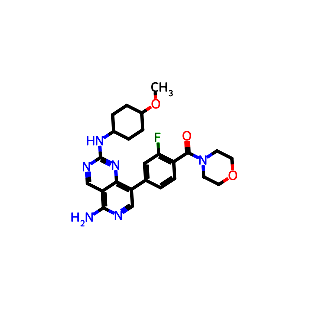 COC1CCC(Nc2ncc3c(N)ncc(-c4ccc(C(=O)N5CCOCC5)c(F)c4)c3n2)CC1